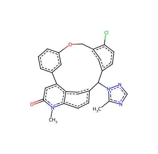 Cc1ncnn1C1c2ccc(Cl)c(c2)COc2cccc(c2)-c2cc(=O)n(C)c3ccc1cc23